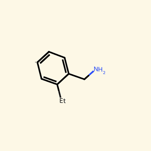 CCc1c[c]ccc1CN